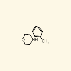 C1COCCN1.Cc1ccccc1